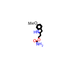 COc1ccc2c(c1)NC(CCOC(N)=O)C2